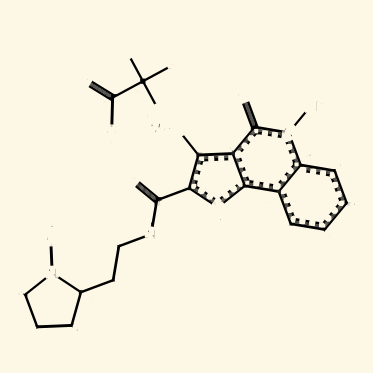 CCCCn1c(=O)c2c(OC)c(C(=O)NCCC3CCCN3C)sc2c2ccccc21.O=C(O)C(F)(F)F